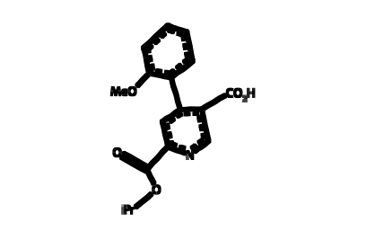 COc1ccccc1-c1cc(C(=O)OC(C)C)ncc1C(=O)O